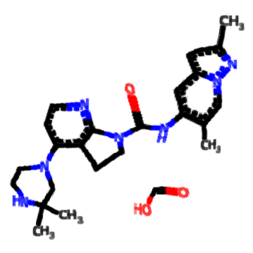 Cc1cc2cc(NC(=O)N3CCc4c(N5CCNC(C)(C)C5)ccnc43)c(C)cn2n1.O=CO